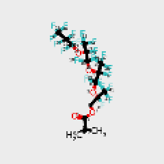 C=C(C)C(=O)OCC(F)(OC(F)(F)C(F)(OC(F)(F)C(F)(OC(F)(F)C(F)(F)C(F)(F)F)C(F)(F)F)C(F)(F)F)C(F)(F)F